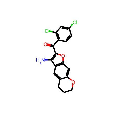 Nc1c(C(=O)c2ccc(Cl)cc2Cl)oc2cc3c(cc12)CCCO3